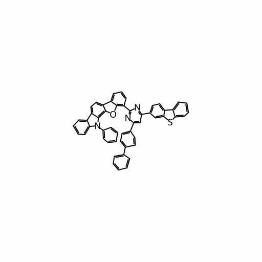 c1ccc(-c2ccc(-c3cc(-c4ccc5c(c4)sc4ccccc45)nc(-c4cccc5c4oc4c5ccc5c6ccccc6n(-c6ccccc6)c54)n3)cc2)cc1